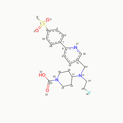 CS(=O)(=O)c1ccc(-c2ccc(CN(CCF)C3CCN(C(=O)O)CC3)cn2)cc1